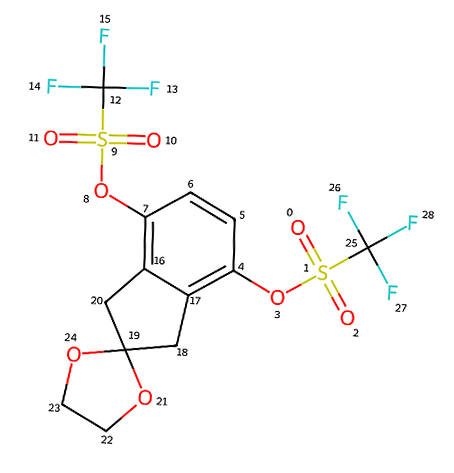 O=S(=O)(Oc1ccc(OS(=O)(=O)C(F)(F)F)c2c1CC1(C2)OCCO1)C(F)(F)F